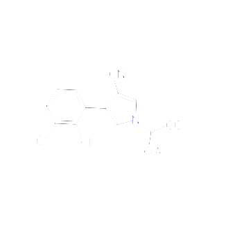 CC(=O)OC(n1cc(C#N)c(-c2cccc(Cl)c2Cl)c1)C(Cl)(Cl)Cl